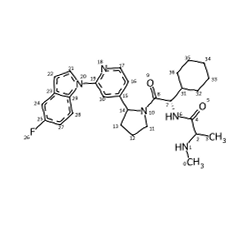 CNC(C)C(=O)N[C@H](C(=O)N1CCCC1c1ccnc(-n2ccc3cc(F)ccc32)c1)C1CCCCC1